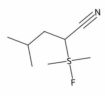 CC(C)CC(C#N)S(C)(C)F